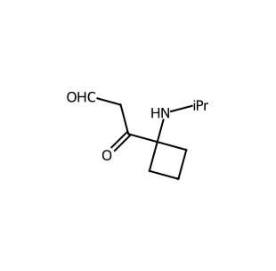 CC(C)NC1(C(=O)CC=O)CCC1